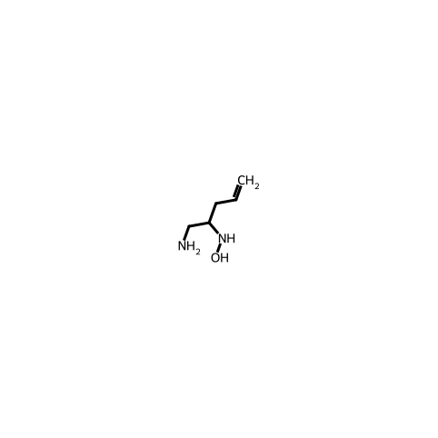 C=CCC(CN)NO